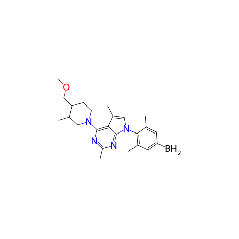 Bc1cc(C)c(-n2cc(C)c3c(N4CCC(COC)C(C)C4)nc(C)nc32)c(C)c1